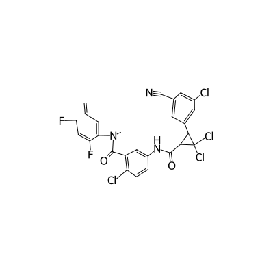 C=C/C=C(\C(F)=C/CF)N(C)C(=O)c1cc(NC(=O)C2C(c3cc(Cl)cc(C#N)c3)C2(Cl)Cl)ccc1Cl